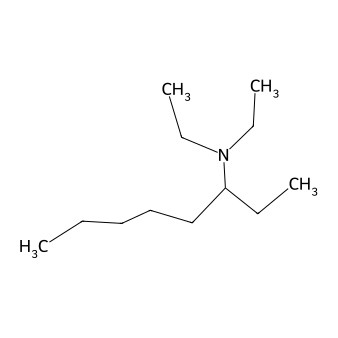 CCCCCC(CC)N(CC)CC